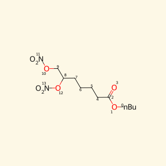 CCCCOC(=O)CCCCC(CO[N+](=O)[O-])O[N+](=O)[O-]